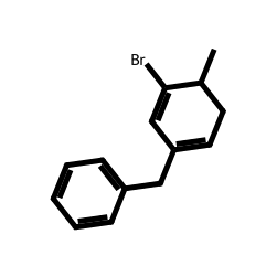 CC1CC=C(Cc2ccccc2)C=C1Br